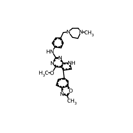 COc1nc(Nc2ccc(CN3CCN(C)CC3)cc2)nc2[nH]cc(-c3ccc4nc(C)oc4c3)c12